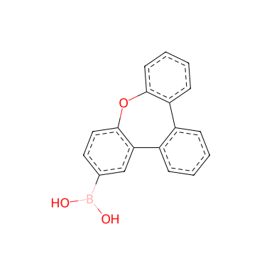 OB(O)c1ccc2c(c1)-c1ccccc1-c1ccccc1O2